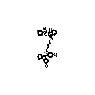 COc1ccc(C(OCCCCCCO[P@@]2O[C@H](CS(=O)(=O)c3ccccc3)[C@@H]3CCCN32)(c2ccccc2)c2ccc(OC)cc2)cc1